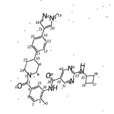 Cc1ccc(C(=O)N2CCC(c3ccc(-c4cnn(C)c4)cc3)CC2)cc1NC(=O)c1cnc(NC2CCC2)nc1